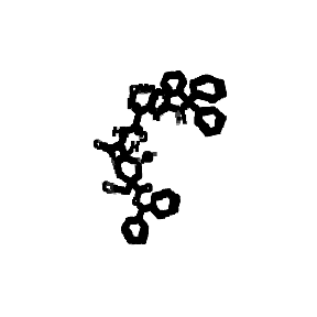 CON=C(C(=O)NC1C(=O)N2CC(CCl)(C(=O)OC(c3ccccc3)c3ccccc3)C[S+]([O-])[C@H]12)c1csc(NC(c2ccccc2)(c2ccccc2)c2ccccc2)n1